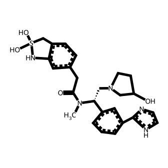 CN(C(=O)Cc1ccc2c(c1)NS(O)(O)C2)[C@H](CN1CCC(O)C1)c1cccc(-c2ncc[nH]2)c1